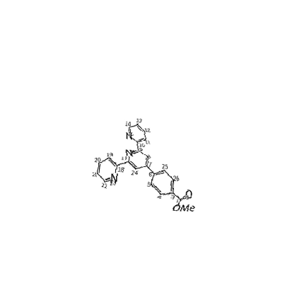 COC(=O)c1ccc(-c2cc(-c3ccccn3)nc(-c3ccccn3)c2)cc1